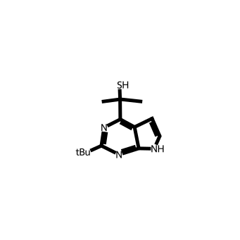 CC(C)(C)c1nc(C(C)(C)S)c2cc[nH]c2n1